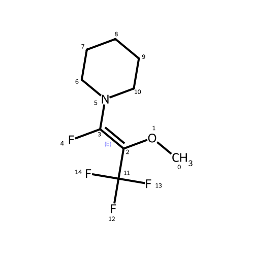 CO/C(=C(/F)N1CCCCC1)C(F)(F)F